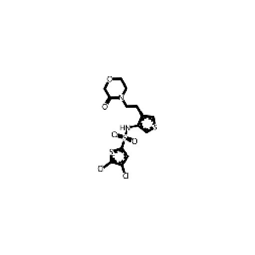 O=C1COCCN1CCc1cscc1NS(=O)(=O)c1cc(Cl)c(Cl)s1